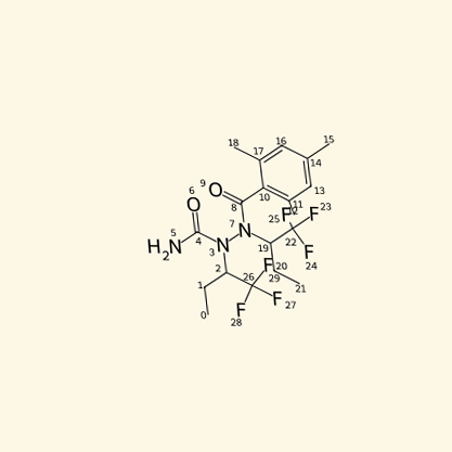 CCC(N(C(N)=O)N(C(=O)c1c(C)cc(C)cc1C)C(CC)C(F)(F)F)C(F)(F)F